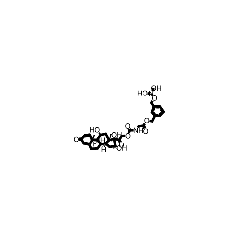 C[C@]12C=CC(=O)C=C1CC[C@H]1[C@@H]3C[C@@H](O)[C@](O)(C(=O)COC(=O)NCC(=O)OCc4cccc(CON(O)O)c4)[C@@]3(C)C[C@H](O)[C@@]12F